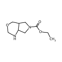 CCOC(=O)N1CC2COCNC2C1